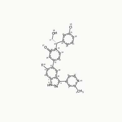 Cc1cc(-c2n[nH]c3cc(F)c(-c4ccn([C@H](CO)c5cccc(Cl)c5)c(=O)c4)cc23)ccn1